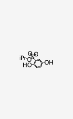 CC(C)OS(=O)(=O)c1cc(O)ccc1O